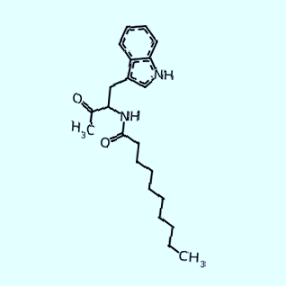 CCCCCCCCCC(=O)NC(Cc1c[nH]c2ccccc12)C(C)=O